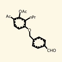 CCCc1c(OCc2ccc(C=O)cc2)ccc(C(C)=O)c1OC(C)=O